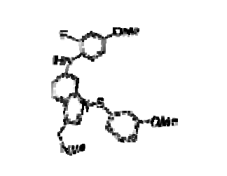 CNCc1cn(Sc2cccc(OC)c2)c2cc(Nc3ccc(OC)cc3F)ccc12